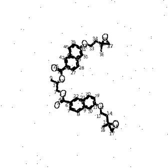 CC(COC(=O)c1ccc2cc(OCCC3(C)CO3)ccc2c1)OC(=O)c1ccc2cc(OCCC3(C)CO3)ccc2c1